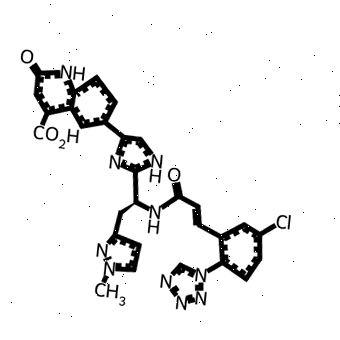 Cn1ccc(C[C@H](NC(=O)/C=C/c2cc(Cl)ccc2-n2cnnn2)c2nc(-c3ccc4[nH]c(=O)cc(C(=O)O)c4c3)c[nH]2)n1